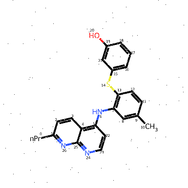 CCCc1ccc2c(Nc3cc(C)ccc3Sc3cccc(O)c3)ccnc2n1